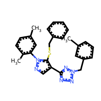 Cc1cccc(Cn2nnc(-c3cnn(-c4cc(C)ccc4C)c3SCc3ccccc3)n2)c1